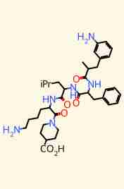 CC(C)CC(NC(=O)C(Cc1ccccc1)NC(=O)C(C)Cc1cccc(N)c1)C(=O)NC(CCCCN)C(=O)N1CCC(C(=O)O)CC1